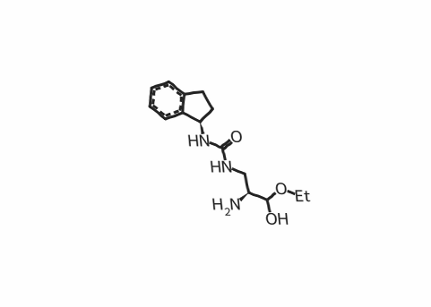 CCOC(O)[C@@H](N)CNC(=O)N[C@@H]1CCc2ccccc21